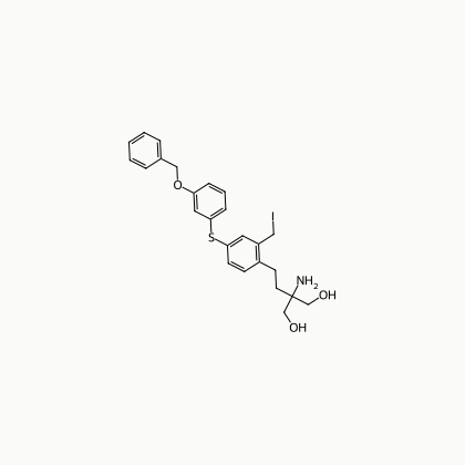 NC(CO)(CO)CCc1ccc(Sc2cccc(OCc3ccccc3)c2)cc1CI